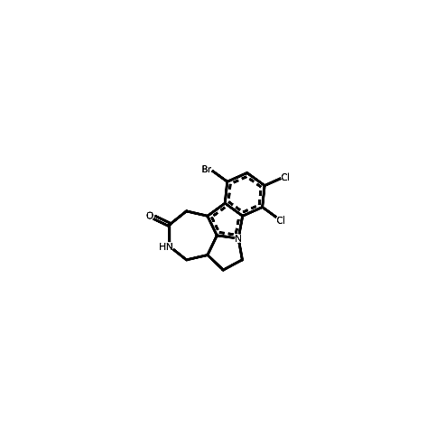 O=C1Cc2c3n(c4c(Cl)c(Cl)cc(Br)c24)CCC3CN1